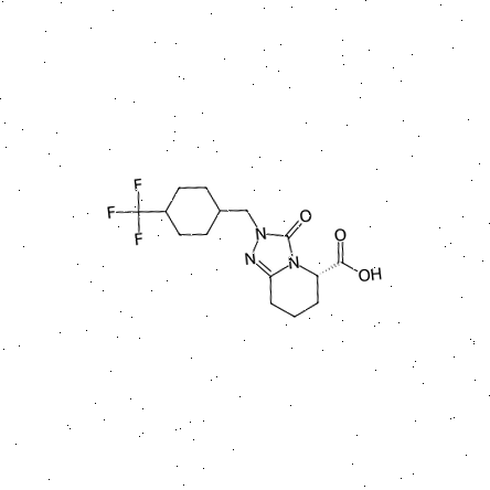 O=C(O)[C@@H]1CCCc2nn(CC3CCC(C(F)(F)F)CC3)c(=O)n21